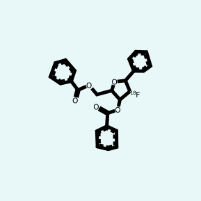 O=C(OCC1OC(c2ccccc2)C([18F])C1OC(=O)c1ccccc1)c1ccccc1